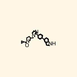 O=C(C1CC1)N1CCC(Cn2ccnc2-c2ccc(-c3ccc4[nH]ccc4c3)cc2)C1